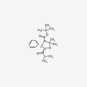 CC(C)C(=O)[C@@H]1OC(C)(C)N(C(=O)OC(C)(C)C)[C@H]1c1ccccc1